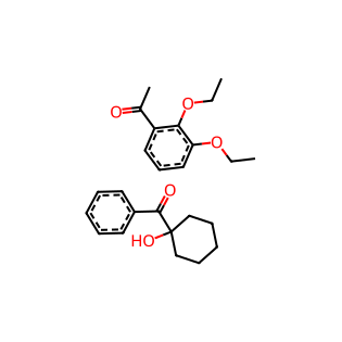 CCOc1cccc(C(C)=O)c1OCC.O=C(c1ccccc1)C1(O)CCCCC1